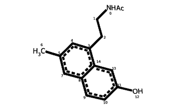 CC(=O)NCCc1cc(C)cc2ccc(O)cc12